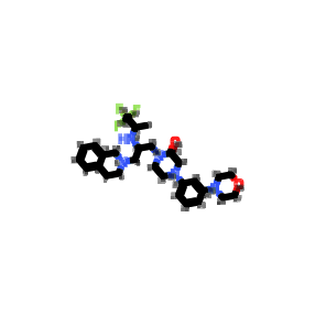 CC(NC(CN1CCc2ccccc2C1)CN1CCN(c2cccc(N3CCOCC3)c2)CC1=O)C(F)(F)F